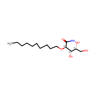 CCCCCCCCCCO[C@@H](C(N)=O)[C@@H](O)[C@H](O)CO